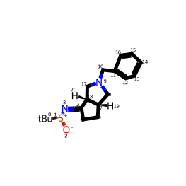 CC(C)(C)[S@+]([O-])N=C1CC[C@H]2CN(Cc3ccccc3)C[C@@H]12